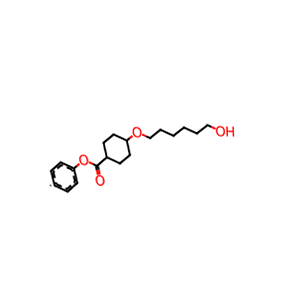 O=C(Oc1cc[c]cc1)C1CCC(OCCCCCCO)CC1